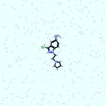 Nc1ccc2c(c1)c(Br)nn2CCN1CCCC1